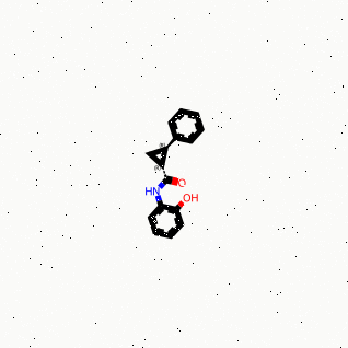 O=C(Nc1ccccc1O)[C@@H]1C[C@H]1c1ccccc1